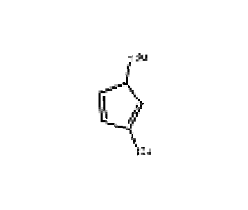 CCCCC1[C]=CC(C(C)(C)C)=C1